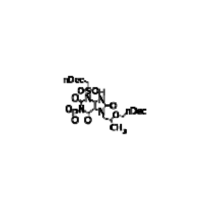 CCCCCCCCCCCOC(C)Cn1c(=O)[nH]c2c1c(=O)n(P(=O)=O)c(=O)n2S(=O)(=O)CCCCCCCCCCC